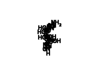 Nc1ncnc2c1ccn2[C@@H]1O[C@H](COP(=O)(O)O[C@@H]2[C@H](O)[C@@H](CO)O[C@H]2n2cnc3c(=O)[nH]cnc32)[C@@H](O)[C@H]1O